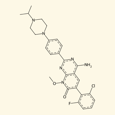 COn1c(=O)c(-c2c(F)cccc2Cl)cc2c(N)nc(-c3ccc(N4CCN(C(C)C)CC4)cc3)nc21